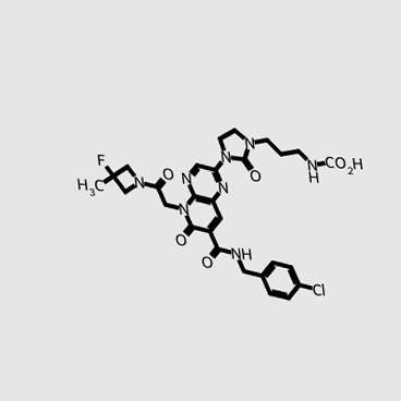 CC1(F)CN(C(=O)Cn2c(=O)c(C(=O)NCc3ccc(Cl)cc3)cc3nc(N4CCN(CCCNC(=O)O)C4=O)cnc32)C1